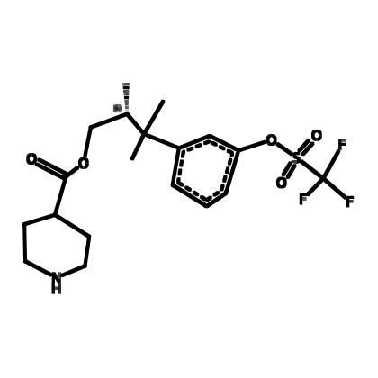 C[C@@H](COC(=O)C1CCNCC1)C(C)(C)c1cccc(OS(=O)(=O)C(F)(F)F)c1